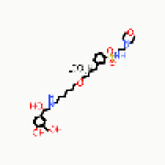 CC(=O)O.O=S(=O)(NCCN1CCOCC1)c1cccc(CCCCOCCCCCCNC[C@H](O)c2ccc(O)c(CO)c2)c1